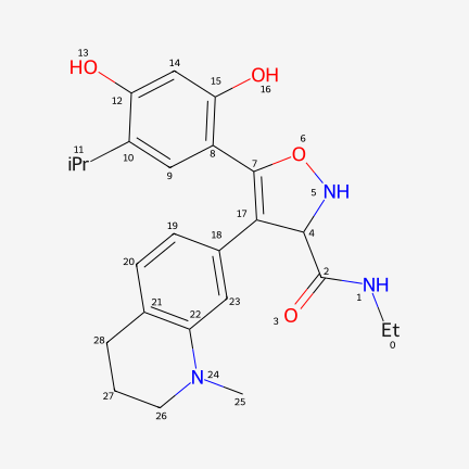 CCNC(=O)C1NOC(c2cc(C(C)C)c(O)cc2O)=C1c1ccc2c(c1)N(C)CCC2